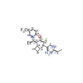 C=C(/C=N\C(N)=C/C)C(C)/C(F)=C(Oc1ccc(C(F)(F)F)cn1)\C(=C\CC)C1CCC1